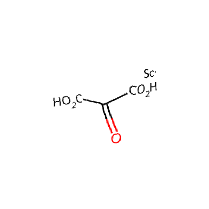 O=C(O)C(=O)C(=O)O.[Sc]